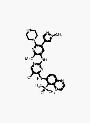 COc1nc(N2CCNCC2)c(-c2cnn(C)c2)cc1Nc1ncc(Cl)c(Nc2ccc3nccnc3c2P(C)(C)=O)n1